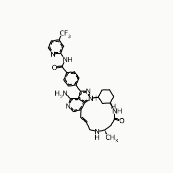 C[C@@H]1CC(=O)N[C@@H]2CCC[C@H](C2)n2nc(-c3ccc(C(=O)Nc4cc(C(F)(F)F)ccn4)cc3)c3c(N)ncc(c32)/C=C/CN1